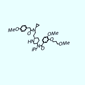 COCCCOc1cc(C(=O)N(C(C)C)C2CC[C@H](CCN(C(=O)Cc3ccc(OC)cc3)C3CC3)NC2)ccc1OC